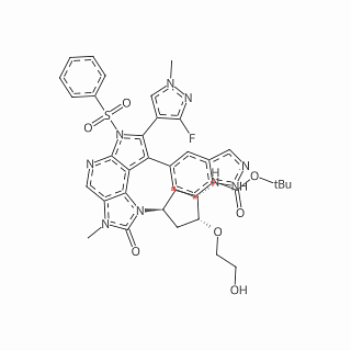 Cn1cc(-c2c(-c3ccc4[nH]ncc4c3)c3c(ncc4c3n([C@H]3C[C@H](NC(=O)OC(C)(C)C)[C@H](OCCO)C3)c(=O)n4C)n2S(=O)(=O)c2ccccc2)c(F)n1